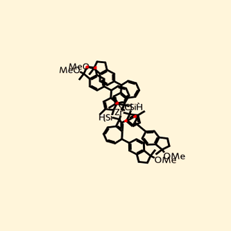 COC1(C)CCc2cc(C3C=CC=CC4=C3C=C(C)[C]43[SiH](C)[C]4(C(C)=CC5=C4C=CC=CC5c4ccc5c(c4)CCC5(C)OC)[Zr]34([Cl])([Cl])[C]3(C(C)=CC5=C3C=CC=CC5c3ccc5c(c3)CCC5(C)OC)[SiH](C)[C]43C(C)=CC4=C3C=CC=CC4c3ccc4c(c3)CCC4(C)OC)ccc21